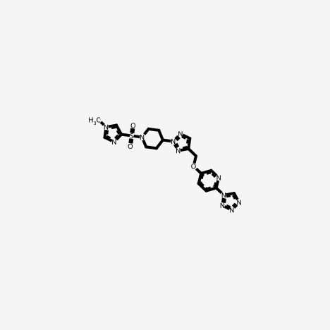 Cn1cnc(S(=O)(=O)N2CCC(n3ncc(COc4ccc(-n5cnnn5)nc4)n3)CC2)c1